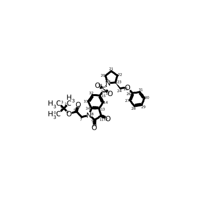 CC(C)(C)OC(=O)CN1C(=O)C(=O)c2cc(S(=O)(=O)N3CCC[C@H]3COc3ccccc3)ccc21